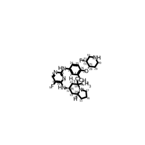 Cc1cc(Nc2ncc(F)c(N[C@@H]3C[C@@H]4CCCN4C(C)(C)C3)n2)ccc1O[C@H]1CCNC[C@@H]1F